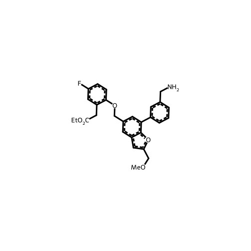 CCOC(=O)Cc1cc(F)ccc1OCc1cc(-c2cccc(CN)c2)c2oc(COC)cc2c1